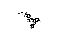 N#C/C(=C\c1cn(Cc2ccncc2)c2cc(Cl)ccc12)c1ccc(C(=O)O)cc1